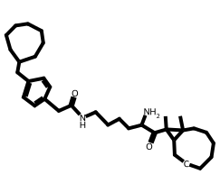 CC12CCCCCCCC1C2(C)C(=O)C(N)CCCCNC(=O)Cc1ccc(CC2CCCCCCC2)cc1